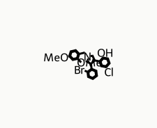 COc1ccc(CN2CC(c3cc(Cl)ccc3O)C(c3ccccc3Br)C2)c(OC)c1